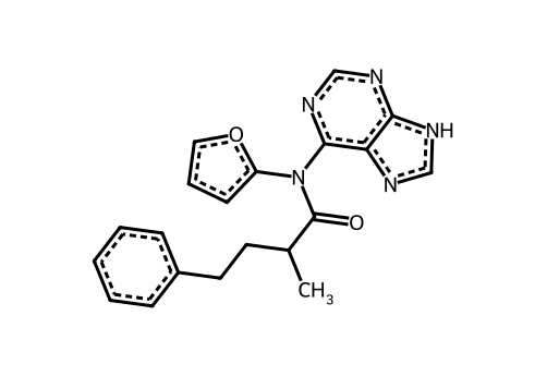 CC(CCc1ccccc1)C(=O)N(c1ccco1)c1ncnc2[nH]cnc12